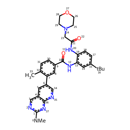 CNc1ncc2cc(-c3cc(C(=O)Nc4cc(C(C)(C)C)ccc4NC(=O)CN4CCOCC4)ccc3C)cnc2n1